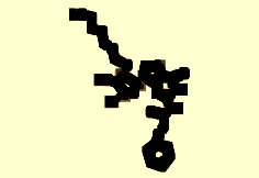 CC[C@H]1O[C@@H](n2cnc3c(=O)[nH]c(NC(=O)COc4ccccc4)nc32)[C@@H](OCOCOCCC#N)C1O